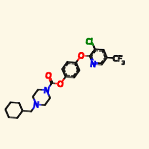 O=C(Oc1ccc(Oc2ncc(C(F)(F)F)cc2Cl)cc1)N1CCN(CC2CCCCC2)CC1